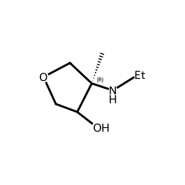 CCN[C@]1(C)COCC1O